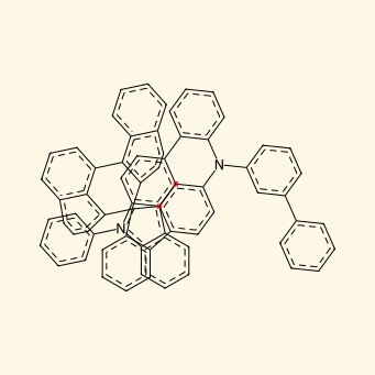 c1ccc(-c2cccc(N(c3ccc4c(c3)C3(c5ccccc5-4)c4ccc5ccccc5c4-c4cccc5cccc3c45)c3ccccc3-c3ccc4c(c3)c3ccccc3n4-c3ccccc3)c2)cc1